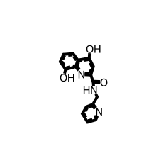 O=C(NCc1ccccn1)c1cc(O)c2cccc(O)c2n1